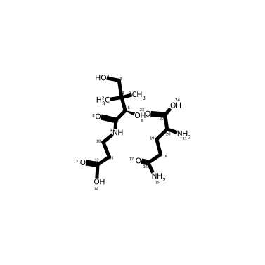 CC(C)(CO)[C@@H](O)C(=O)NCCC(=O)O.NC(=O)CCC(N)C(=O)O